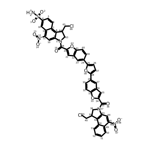 NS(=O)(=O)c1ccc2c3c(cc([N+](=O)[O-])c2c1)N(C(=O)c1cc2cc(-c4ccc(-c5ccc6oc(C(=O)N7CC(CCl)c8c7cc([N+](=O)[O-])c7ccccc87)cc6c5)o4)ccc2o1)CC3CCl